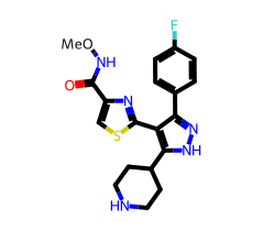 CONC(=O)c1csc(-c2c(-c3ccc(F)cc3)n[nH]c2C2CCNCC2)n1